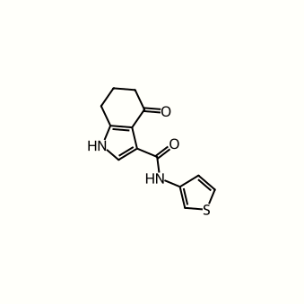 O=C(Nc1ccsc1)c1c[nH]c2c1C(=O)CCC2